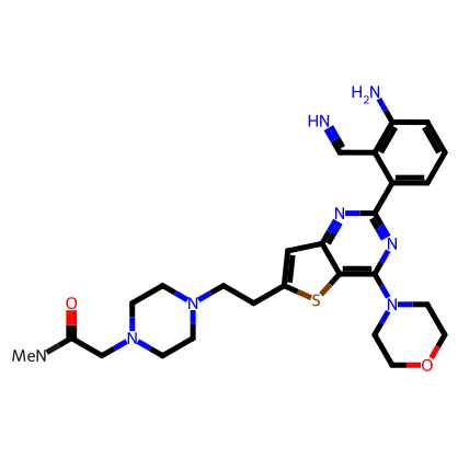 CNC(=O)CN1CCN(CCc2cc3nc(-c4cccc(N)c4C=N)nc(N4CCOCC4)c3s2)CC1